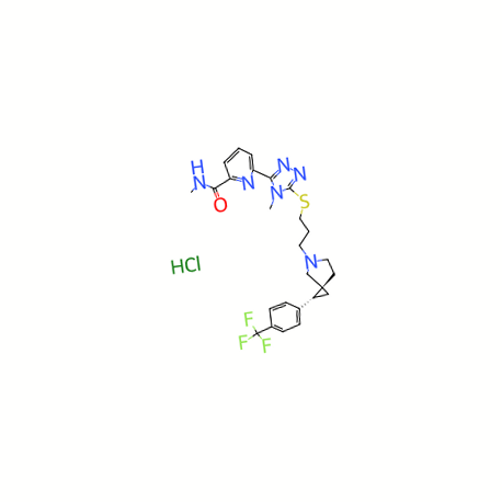 CNC(=O)c1cccc(-c2nnc(SCCCN3CC[C@]4(C[C@@H]4c4ccc(C(F)(F)F)cc4)C3)n2C)n1.Cl